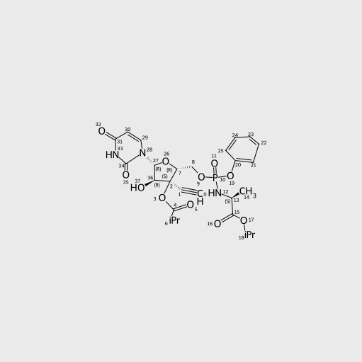 C#C[C@@]1(OC(=O)C(C)C)[C@@H](COP(=O)(N[C@@H](C)C(=O)OC(C)C)Oc2ccccc2)O[C@@H](n2ccc(=O)[nH]c2=O)[C@@H]1O